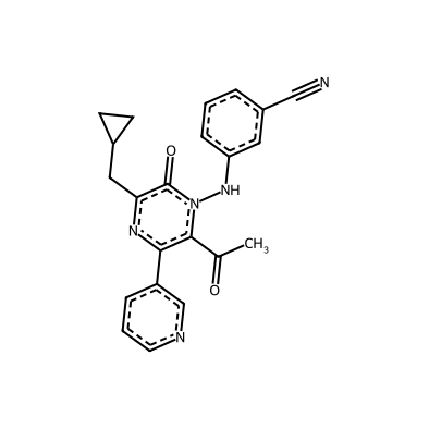 CC(=O)c1c(-c2cccnc2)nc(CC2CC2)c(=O)n1Nc1cccc(C#N)c1